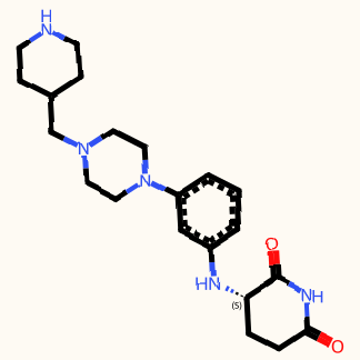 O=C1CC[C@H](Nc2cccc(N3CCN(CC4CCNCC4)CC3)c2)C(=O)N1